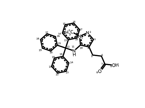 Cn1ncc(CCC(=O)O)c1NC(c1ccccc1)(c1ccccc1)c1ccccc1